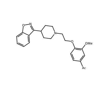 COc1cc(C(C)=O)ccc1OCCN1CCC(c2noc3ccccc23)CC1